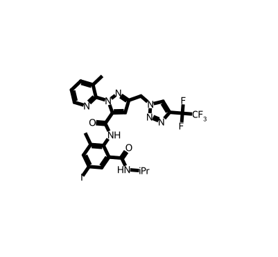 Cc1cccnc1-n1nc(Cn2cc(C(F)(F)C(F)(F)F)nn2)cc1C(=O)Nc1c(C)cc(I)cc1C(=O)NC(C)C